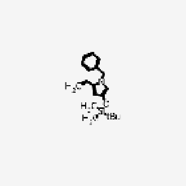 C=Cc1cc(O[Si](C)(C)C(C)(C)C)cn1Cc1ccccc1